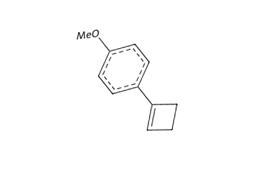 COc1ccc(C2=CCC2)cc1